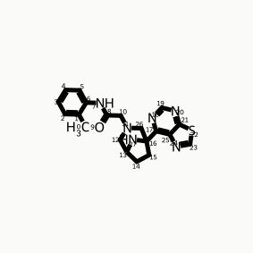 Cc1ccccc1NC(=O)CN1CC2CCC(c3ncnc4scnc34)(C1)N2